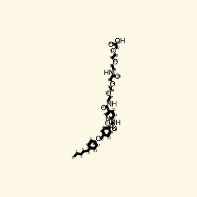 CCCCCc1ccc(OCc2ccc(S(=O)(=O)Nc3ccc(C(=O)NCCOCCOCC(=O)NCCOCCOCC(=O)O)cn3)cc2)cc1